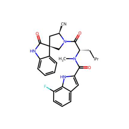 CC(C)C[C@@H](C(=O)N1C[C@]2(C[C@H]1C#N)C(=O)Nc1ccccc12)N(C)C(=O)c1cc2cccc(F)c2[nH]1